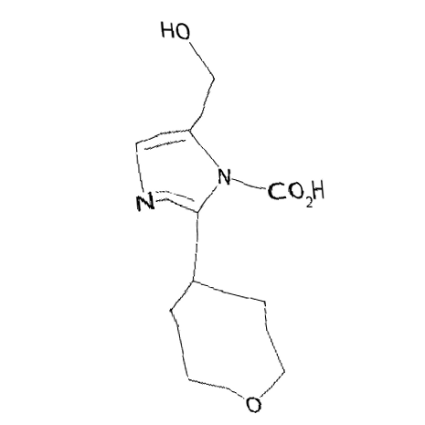 O=C(O)n1c(CO)cnc1C1CCOCC1